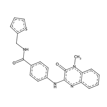 Cn1c(=O)c(Nc2ccc(C(=O)NCc3cccs3)cc2)nc2ccccc21